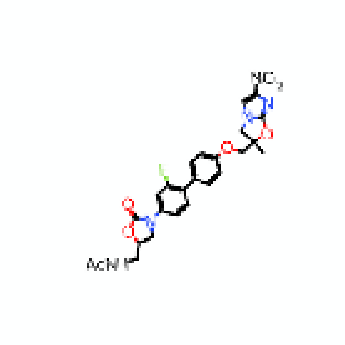 CC(=O)NCC1CN(c2ccc(-c3ccc(OCC4(C)Cn5cc([N+](=O)[O-])nc5O4)cc3)c(F)c2)C(=O)O1